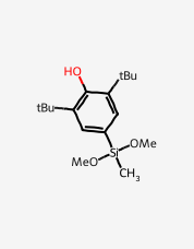 CO[Si](C)(OC)c1cc(C(C)(C)C)c(O)c(C(C)(C)C)c1